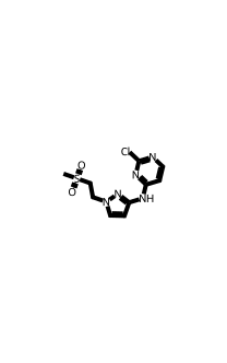 CS(=O)(=O)CCn1ccc(Nc2ccnc(Cl)n2)n1